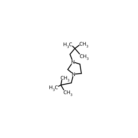 CC(C)(C)CN1CCN(CC(C)(C)C)C1